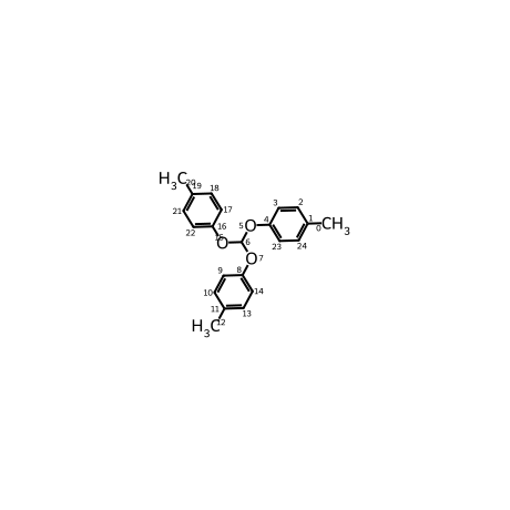 Cc1ccc(OC(Oc2ccc(C)cc2)Oc2ccc(C)cc2)cc1